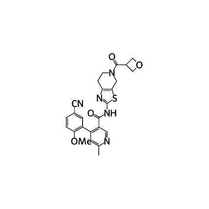 COc1ccc(C#N)cc1-c1cc(C)ncc1C(=O)Nc1nc2c(s1)CN(C(=O)C1COC1)CC2